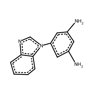 Nc1cc(N)cc(-n2cnc3ccccc32)c1